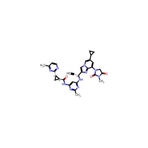 C#C[C@@H](Nc1cc(NC(=O)[C@H]2C[C@@H]2c2nccc(C)n2)nc(C)n1)c1cn2cc(C3CC3)cc(N3CC(=O)N(C)C3=O)c2n1